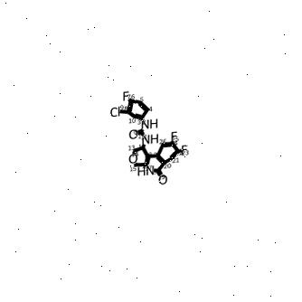 O=C(Nc1ccc(F)c(Cl)c1)NC1COCc2[nH]c(=O)c3cc(F)c(F)cc3c21